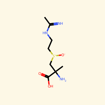 CC(=N)NCC[S+]([O-])CC(C)(N)C(=O)O